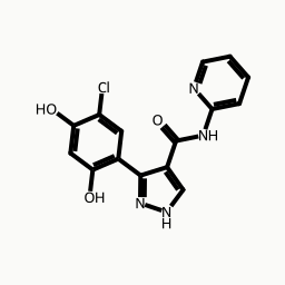 O=C(Nc1ccccn1)c1c[nH]nc1-c1cc(Cl)c(O)cc1O